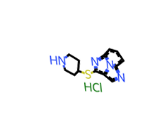 Cl.c1cc2ncc3c(SC4CCNCC4)nc(c1)n23